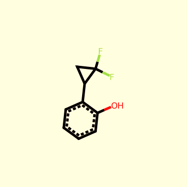 Oc1ccccc1C1CC1(F)F